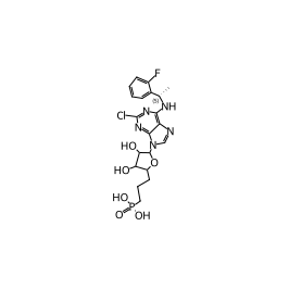 C[C@H](Nc1nc(Cl)nc2c1ncn2C1OC(CCCP(=O)(O)O)C(O)C1O)c1ccccc1F